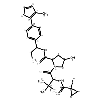 CCC(NC(=O)C1CC(O)CN1C(=O)C(NC(=O)C1(F)CC1)C(C)(C)C)c1ccc(-c2scnc2C)cc1